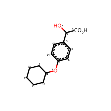 O=C(O)C(O)c1ccc(OC2CCCCC2)cc1